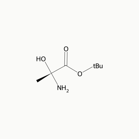 CC(C)(C)OC(=O)[C@](C)(N)O